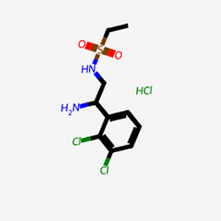 CCS(=O)(=O)NCC(N)c1cccc(Cl)c1Cl.Cl